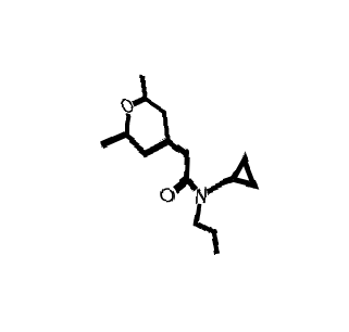 CCCN(C(=O)CC1CC(C)OC(C)C1)C1CC1